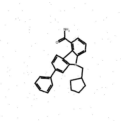 NC(=O)c1cccc2c1c1[c]cc(-c3ccccc3)cc1n2CC1CCCC1